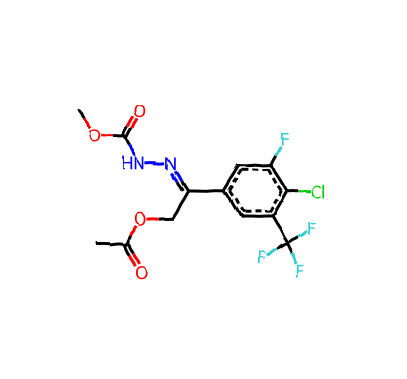 COC(=O)N/N=C(\COC(C)=O)c1cc(F)c(Cl)c(C(F)(F)F)c1